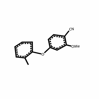 COc1cc(Oc2ccccc2C)ccc1C#N